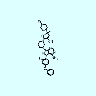 CCN1CCN(C(C)(C)/C=C(/C#N)C(=O)N2CCC[C@@H](n3nc(-c4ccc(Oc5ccccc5)cc4F)c4c(N)ncnc43)C2)CC1